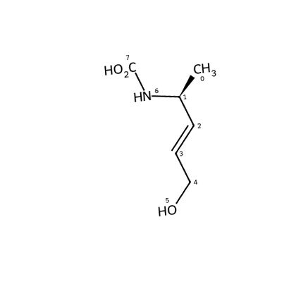 C[C@@H](/C=C/CO)NC(=O)O